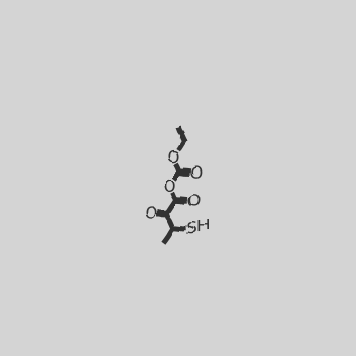 CCOC(=O)OC(=O)C(=O)C(C)S